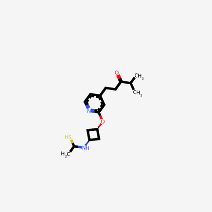 CC(S)N[C@H]1C[C@@H](Oc2cc(CCC(=O)C(C)C)ccn2)C1